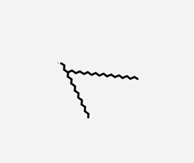 [CH2]CCC(CCCCCCCCCCCCC)CCCCCCCCCCCCCCCCCC